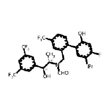 CC(C)c1cc(-c2ccc(C(F)(F)F)cc2CN(C=O)[C@@H](C)[C@@H](O)c2cc(C(F)(F)F)cc(C(F)(F)F)c2)c(O)cc1F